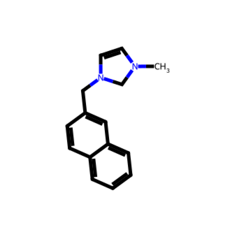 CN1C=CN(Cc2ccc3ccccc3c2)C1